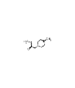 CSC(=O)CN1CCN(C)CC1